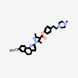 COc1ccc2c(c1)CCc1ccc(-n3nc(C)c(C(=O)Oc4ccc(CCN5CCN(C)CC5)cc4)c3C)nc1-2